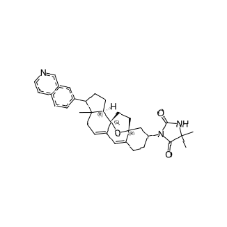 CC1(C)NC(=O)N(C2CCC3=CC4=CCC5(C)C(c6ccc7ccncc7c6)CC[C@H]5[C@@]45CC[C@]3(C2)O5)C1=O